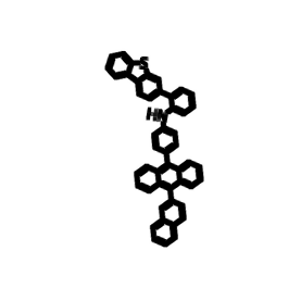 c1ccc(-c2ccc3c(c2)sc2ccccc23)c(Nc2ccc(-c3c4ccccc4c(-c4ccc5ccccc5c4)c4ccccc34)cc2)c1